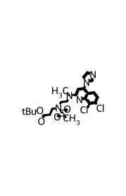 CN(CCN(CCC(=O)OC(C)(C)C)S(C)(=O)=O)c1cc(-n2ccnc2)c2ccc(Cl)c(Cl)c2n1